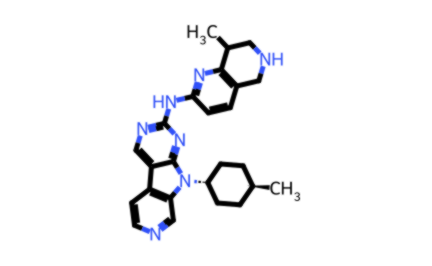 CC1CNCc2ccc(Nc3ncc4c5ccncc5n([C@H]5CC[C@H](C)CC5)c4n3)nc21